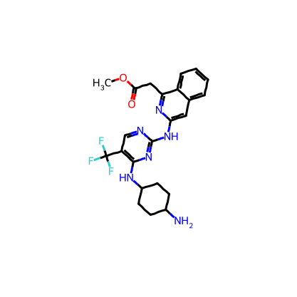 COC(=O)Cc1nc(Nc2ncc(C(F)(F)F)c(NC3CCC(N)CC3)n2)cc2ccccc12